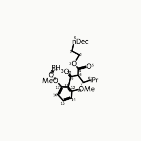 CCCCCCCCCCCCOC(=O)C(CC(C)C)C(=O)c1c(OC)cccc1OC.O=[PH3]